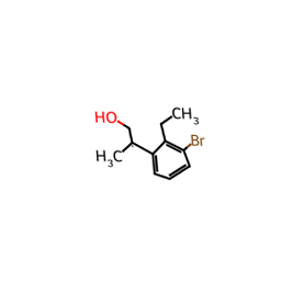 CCc1c(Br)cccc1[C](C)CO